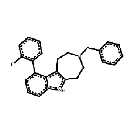 Fc1ccccc1-c1cccc2[nH]c3c(c12)CCN(Cc1ccccc1)CC3